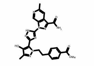 COC(=O)c1ccc(CCn2nc(C)c(O)c2-c2n[nH]c(-n3nc(C(N)=O)c4cc(C)ncc43)n2)cc1